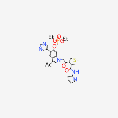 CCOP(=O)(COc1cc2c(cc1-c1cncnc1)c(C(C)=O)cn2CC(=O)C1CS(C)(C)C[C@H]1C(=O)Nc1ccccn1)OCC